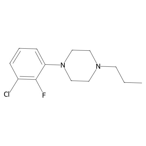 CCCN1CCN(c2cccc(Cl)c2F)CC1